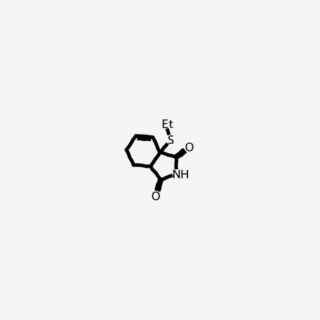 CCSC12C=CCCC1C(=O)NC2=O